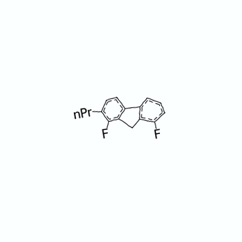 CCCc1ccc2c(c1F)Cc1c(F)cccc1-2